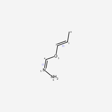 C/C=C/O/C=N\N